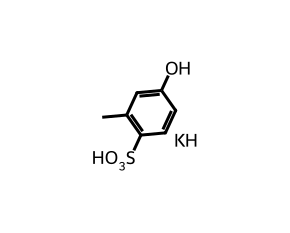 Cc1cc(O)ccc1S(=O)(=O)O.[KH]